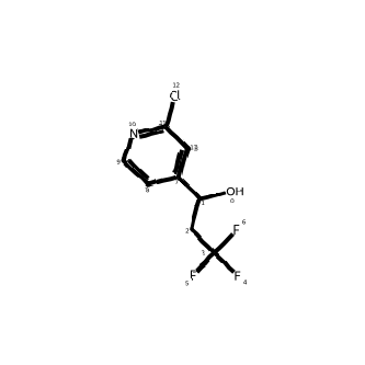 OC(CC(F)(F)F)c1ccnc(Cl)c1